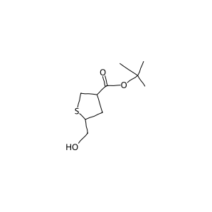 CC(C)(C)OC(=O)C1CSC(CO)C1